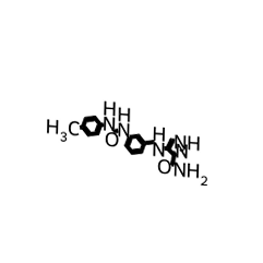 Cc1ccc(NC(=O)Nc2cccc(CNc3c[nH]nc3C(N)=O)c2)cc1